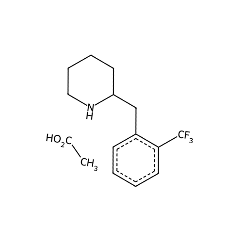 CC(=O)O.FC(F)(F)c1ccccc1CC1CCCCN1